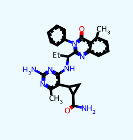 CCC(Nc1nc(N)nc(C)c1C1CC1C(N)=O)c1nc2cccc(C)c2c(=O)n1-c1ccccc1